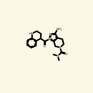 CN(C)C(=O)N1CCc2c(N)nn(C(=O)C3CCNc4ccccc43)c2C1